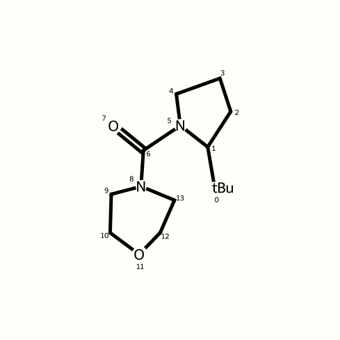 CC(C)(C)C1CCCN1C(=O)N1CCOCC1